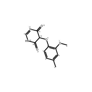 COc1cc(C)ccc1OC1C(=O)N=CNC1=O